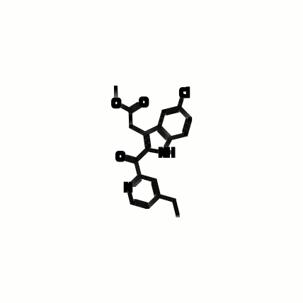 CCc1ccnc(C(=O)c2[nH]c3ccc(Cl)cc3c2CC(=O)OC)c1